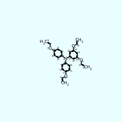 C=COc1ccc(N(c2ccc(OC=C)cc2)c2cc(OC=C)cc(OC=C)c2)cc1